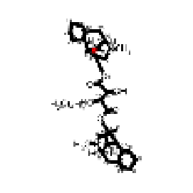 CN1CC[C@]23CCC(OC(=O)C(O)C(O)C(=O)OC4CC[C@]56CCN(C)[C@H](Cc7ccccc75)[C@@H]6C4)C[C@H]2[C@H]1Cc1ccccc13.O.O